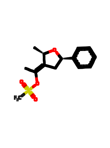 C/C(OS(=O)(=O)C(F)(F)F)=C1/C[C@@H](c2ccccc2)O[C@H]1C